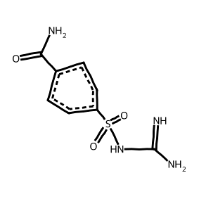 N=C(N)NS(=O)(=O)c1ccc(C(N)=O)cc1